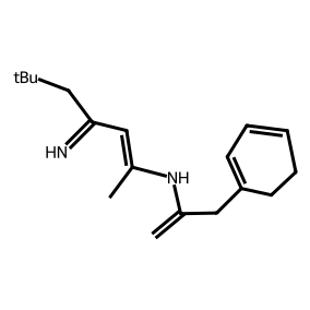 C=C(CC1=CC=CCC1)N/C(C)=C/C(=N)CC(C)(C)C